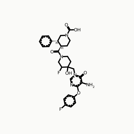 Nc1c(Oc2ccc(F)cc2)ncn(CC2(O)CCN(C(=O)[C@@H]3CCN(C(=O)O)C[C@H]3c3ccccc3)CC2F)c1=O